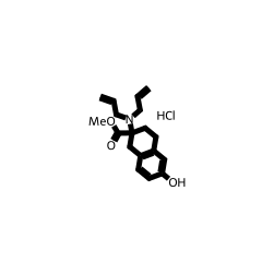 C=CCN(CC=C)C1(C(=O)OC)CCc2cc(O)ccc2C1.Cl